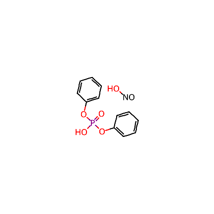 O=NO.O=P(O)(Oc1ccccc1)Oc1ccccc1